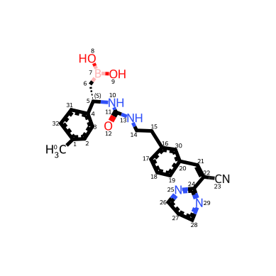 Cc1ccc([C@H](CB(O)O)NC(=O)NCCc2cccc(C=C(C#N)c3ncccn3)c2)cc1